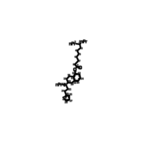 CCCC(CCC)CCCCCCC(=O)Oc1cccc2c1CCC(N(CCC)CCc1cccs1)C2